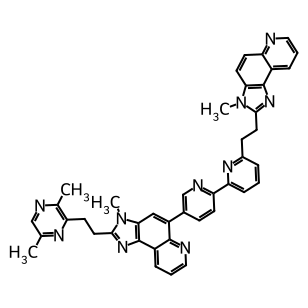 Cc1cnc(C)c(CCc2nc3c4cccnc4c(-c4ccc(-c5cccc(CCc6nc7c8cccnc8ccc7n6C)n5)nc4)cc3n2C)n1